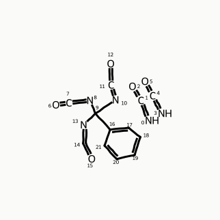 N=C=O.N=C=O.O=C=NC(N=C=O)(N=C=O)c1ccccc1